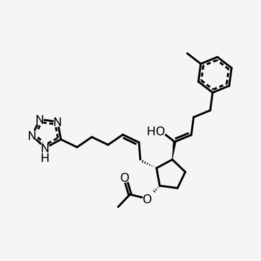 CC(=O)O[C@H]1CC[C@H](C(O)=CCCc2cccc(C)c2)[C@H]1C/C=C\CCCc1nnn[nH]1